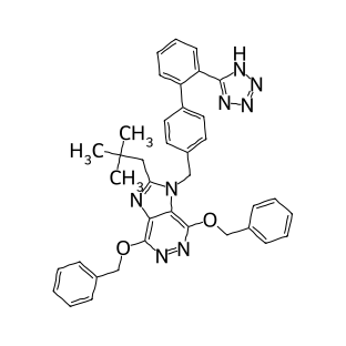 CC(C)(C)Cc1nc2c(OCc3ccccc3)nnc(OCc3ccccc3)c2n1Cc1ccc(-c2ccccc2-c2nnn[nH]2)cc1